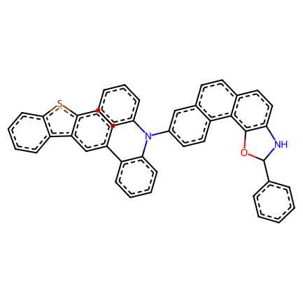 c1ccc(C2Nc3ccc4ccc5cc(N(c6ccccc6)c6ccccc6-c6ccc7sc8ccccc8c7c6)ccc5c4c3O2)cc1